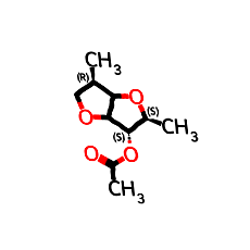 CC(=O)O[C@@H]1C2OC[C@@H](C)C2O[C@H]1C